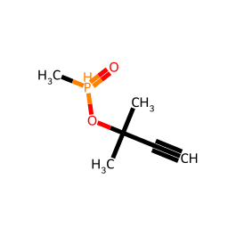 C#CC(C)(C)O[PH](C)=O